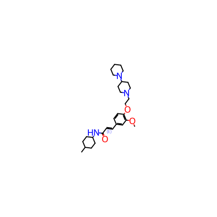 COc1cc(/C=C/C(=O)NC2CCC(C)CC2)ccc1OCCN1CCC(N2CCCCC2)CC1